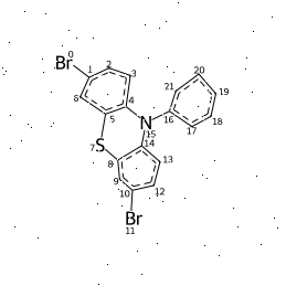 Brc1ccc2c(c1)Sc1cc(Br)ccc1N2c1ccccc1